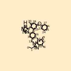 CCc1nc2c(C)cc(C)nc2n1Cc1ccc(-c2cc(Oc3ccccc3)cc(C)c2-c2nnn[nH]2)cc1